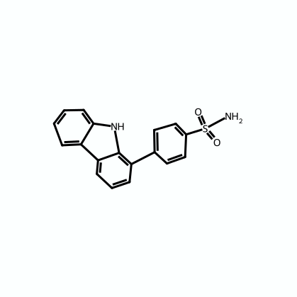 NS(=O)(=O)c1ccc(-c2cccc3c2[nH]c2ccccc23)cc1